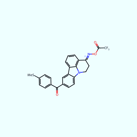 CSc1ccc(C(=O)c2ccc3c(c2)c2cccc4c2n3CC/C4=N\OC(=O)C(F)(F)F)cc1